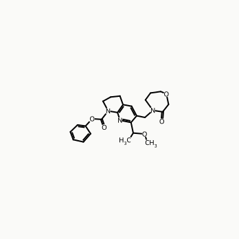 COC(C)c1nc2c(cc1CN1CCCOCC1=O)CCCN2C(=O)Oc1ccccc1